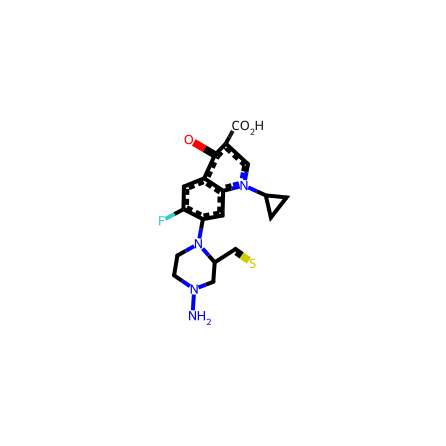 NN1CCN(c2cc3c(cc2F)c(=O)c(C(=O)O)cn3C2CC2)C(C=S)C1